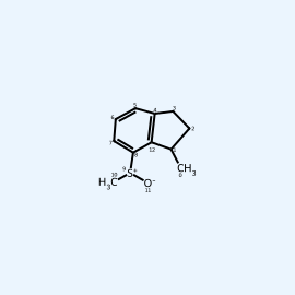 CC1CCc2cccc([S+](C)[O-])c21